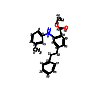 Cc1cccc(Nc2cc(CCc3ccccc3)ccc2C(=O)OC(C)(C)C)c1